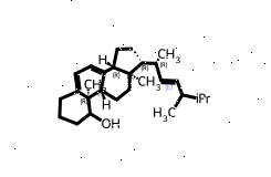 CC(C)C(C)/C=C/[C@@H](C)[C@H]1CC[C@H]2C3=CC=C4CCCC(O)[C@]4(C)[C@H]3CC[C@]12C